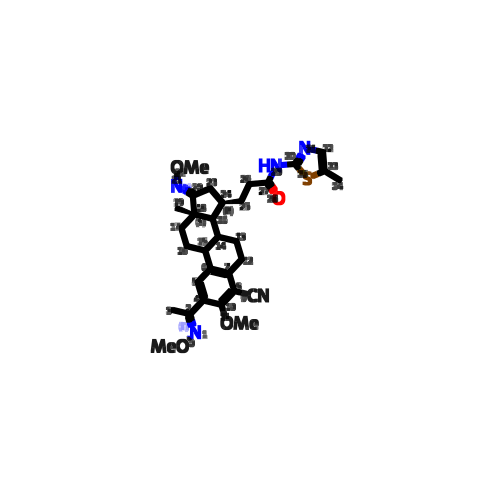 CO/N=C(\C)c1cc2c(c(C#N)c1OC)CCC1C2CC[C@]2(C)/C(=N/OC)C[C@@H](CCC(=O)Nc3ncc(C)s3)C12